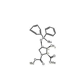 COC(=O)[C@@H]1[C@H](C)[C@H](O[Si](c2ccccc2)(c2ccccc2)C(C)(C)C)CN1C(=O)OC(C)(C)C